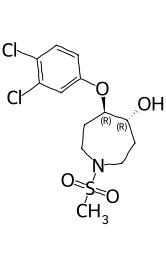 CS(=O)(=O)N1CC[C@@H](O)[C@H](Oc2ccc(Cl)c(Cl)c2)CC1